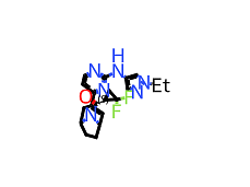 CCn1cc(Nc2nccc(C3=CC4CCC(C3)N4C(=O)[C@@H]3CC3(F)F)n2)cn1